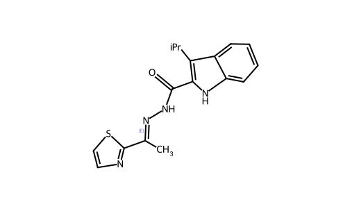 C/C(=N\NC(=O)c1[nH]c2ccccc2c1C(C)C)c1nccs1